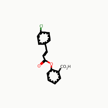 O=C(C=Cc1ccc(Cl)cc1)Oc1ccccc1C(=O)O